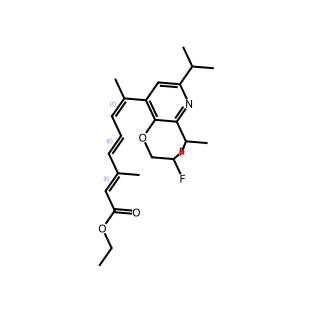 CCOC(=O)/C=C(C)/C=C/C=C(/C)c1cc(C(C)C)nc(C(C)C)c1OCC(F)F